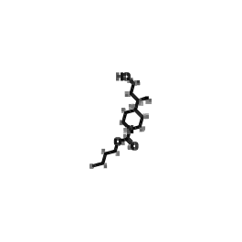 CCCCOC(=O)N1CCC([C@H](C)CCO)CC1